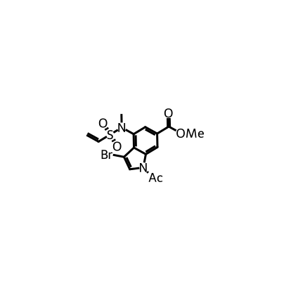 C=CS(=O)(=O)N(C)c1cc(C(=O)OC)cc2c1c(Br)cn2C(C)=O